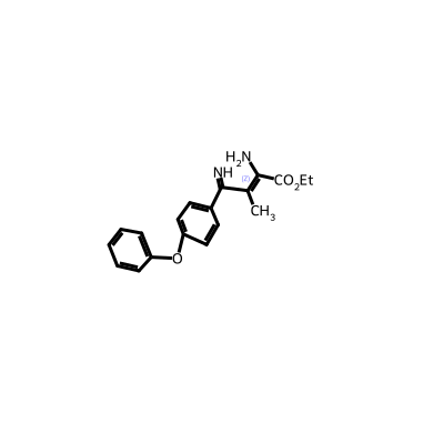 CCOC(=O)/C(N)=C(\C)C(=N)c1ccc(Oc2ccccc2)cc1